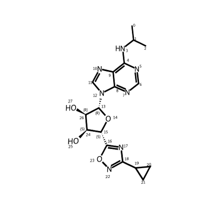 CC(C)Nc1ncnc2c1ncn2[C@@H]1O[C@H](c2nc(C3CC3)no2)[C@@H](O)[C@H]1O